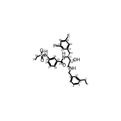 CCc1cccc(CNC[C@@H](O)[C@H](Cc2cc(F)cc(F)c2)NC(=O)c2cccc(NS(=O)(=O)CC)c2)c1